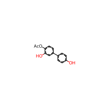 CC(=O)Oc1ccc(-c2ccc(O)cc2)cc1O